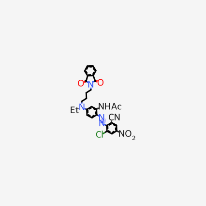 CCN(CCCCN1C(=O)c2ccccc2C1=O)c1ccc(/N=N/c2c(Cl)cc([N+](=O)[O-])cc2C#N)c(NC(C)=O)c1